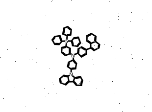 c1ccc(S(c2ccccc2)(c2ccccc2)c2cccc(N(c3ccc(-c4cccc5ccccc45)cc3)c3ccc(-n4c5ccccc5c5ccccc54)cc3)c2)cc1